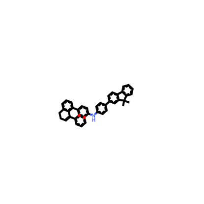 CC1(C)c2ccccc2-c2ccc(-c3ccc(Nc4ccc(-c5cccc6c5C(c5ccccc5)=CCC6)cc4)cc3)cc21